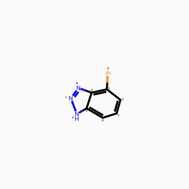 [P]c1cccc2[nH]nnc12